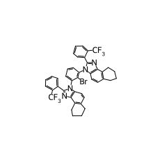 FC(F)(F)c1ccccc1-c1nc2c3c(ccc2n1-c1cccc(-n2c(-c4ccccc4C(F)(F)F)nc4c5c(ccc42)CCCC5)c1Br)CCCC3